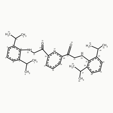 CC(C)c1cccc(C(C)C)c1NCC(=O)c1cccc(C(=O)CNc2c(C(C)C)cccc2C(C)C)n1